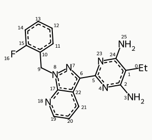 CCc1c(N)nc(-c2nn(Cc3ccccc3F)c3ncccc23)nc1N